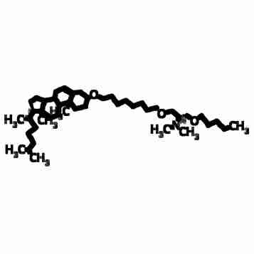 CCCCCOC[C@@H](COCCCCCCCCOC1CCC2(C)C(=CCC3C2CCC2(C)C3CC[C@@H]2[C@H](C)CCCC(C)C)C1)N(C)C